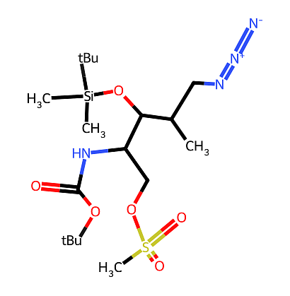 CC(CN=[N+]=[N-])C(O[Si](C)(C)C(C)(C)C)C(COS(C)(=O)=O)NC(=O)OC(C)(C)C